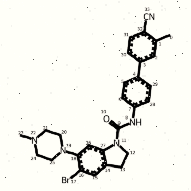 Cc1cc(-c2ccc(NC(=O)N3CCc4cc(Br)c(N5CCN(C)CC5)cc43)cc2)ccc1C#N